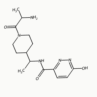 CC(N)C(=O)N1CCC(C(C)NC(=O)c2ccc(O)nn2)CC1